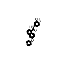 Cc1cccc(NC(=O)c2cccc3cc(Oc4ccncc4)ccc23)c1